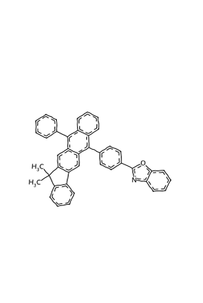 CC1(C)c2ccccc2-c2cc3c(-c4ccc(-c5nc6ccccc6o5)cc4)c4ccccc4c(-c4ccccc4)c3cc21